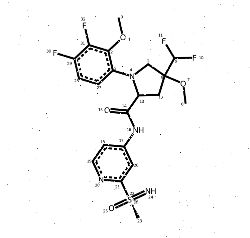 COc1c(N2CC(OC)(C(F)F)CC2C(=O)Nc2ccnc([S@](C)(=N)=O)c2)ccc(F)c1F